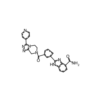 NC(=O)c1cccc2[nH]c(-c3cccc(C(=O)N4CCn5c(nnc5-c5ccncc5)C4)c3)nc12